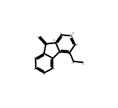 C=C1c2ccccc2-c2c(CC)cncc21